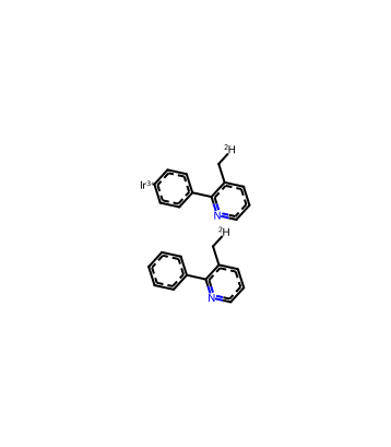 [2H]Cc1cccnc1-c1ccccc1.[2H]Cc1cccnc1-c1ccccc1.[Ir+3]